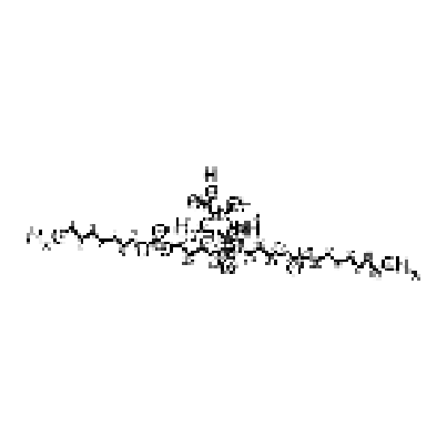 CCCCCCCCOC(=O)OCCCOP(=O)(NC(=N)N(C)C(C)C(=O)O)OCCCOC(=O)OCCCCCCCC